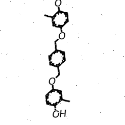 COc1ccc(OCc2ccc(COc3ccc(O)c(C)c3)cc2)cc1C